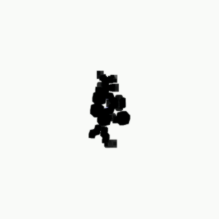 CCCCN(CCCCO)c1ccc(/C=C/c2sc(/C=C/C3=C(C#N)C(=C(C#N)C#N)OC3(C)c3ccc(-c4ccccc4)cc3)c3c2OCCO3)c(OCc2ccccc2)c1